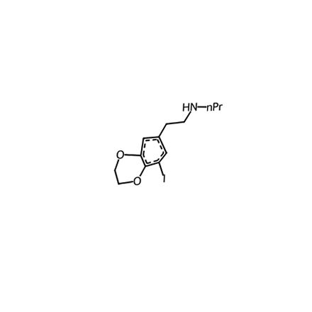 CCCNCCc1cc(I)c2c(c1)OCCO2